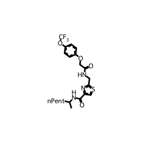 CCCCCC(C)NC(=O)c1csc(CNC(=O)COc2ccc(OC(F)(F)F)cc2)n1